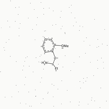 CCC(N)Oc1ccccc1OC